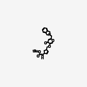 CC(C)(C)OC(=O)NC1C=CC(COc2coc(CN3Cc4ccccc4C3)cc2=O)C1